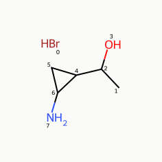 Br.CC(O)C1CC1N